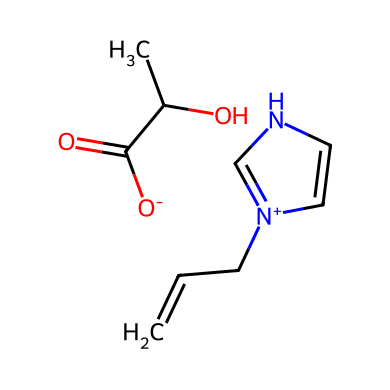 C=CC[n+]1cc[nH]c1.CC(O)C(=O)[O-]